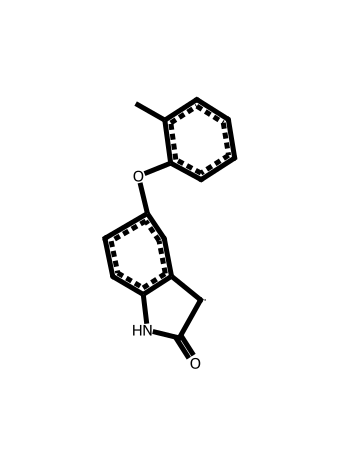 Cc1ccccc1Oc1ccc2c(c1)[CH]C(=O)N2